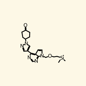 C[Si](C)(C)CCOCn1ccc2c(-c3cnn(C4CCC(=O)CC4)c3)ncnc21